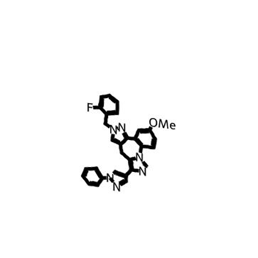 COc1ccc2c(c1)-c1nn(Cc3ccccc3F)cc1Cc1c(-c3cnn(-c4ccccc4)c3)ncn1-2